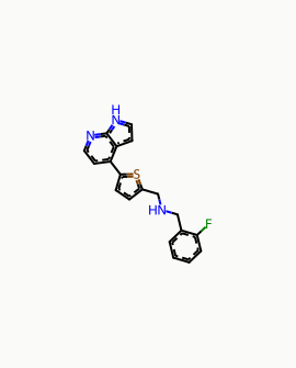 Fc1ccccc1CNCc1ccc(-c2ccnc3[nH]ccc23)s1